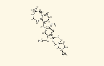 Cc1nc(N2CCC3(CC2)CO[C@@H](C)C3)c(CO)nc1Sc1ccnc2c1OCCC1(CC1)N2